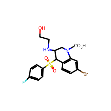 O=C(O)N1CC(NCCO)C(S(=O)(=O)c2ccc(F)cc2)c2ccc(Br)cc21